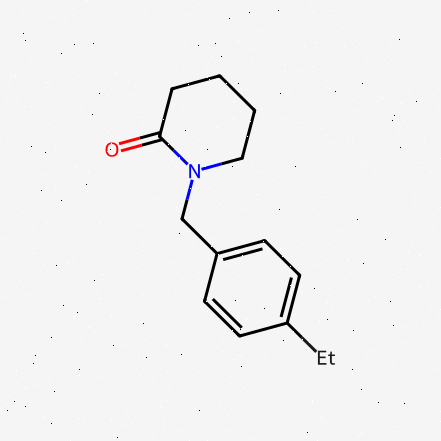 CCc1ccc(CN2CCCCC2=O)cc1